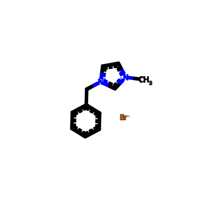 Cn1cc[n+](Cc2ccccc2)c1.[Br-]